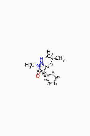 CC(C)Cc1[nH]n(C)c(=O)c1-c1ccccc1